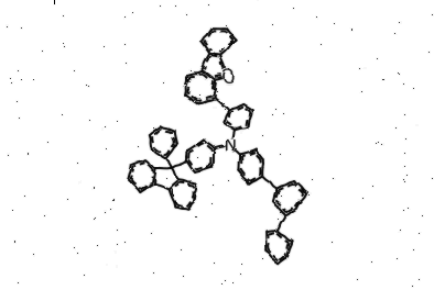 c1ccc(-c2cccc(-c3ccc(N(c4ccc(C5(c6ccccc6)c6ccccc6-c6ccccc65)cc4)c4cccc(-c5cccc6c5oc5ccccc56)c4)cc3)c2)cc1